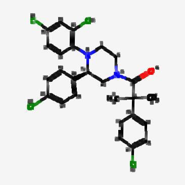 CC(C)(C(=O)N1CCN(c2ccc(Cl)cc2Cl)[C@H](c2ccc(Cl)cc2)C1)c1ccc(Cl)cc1